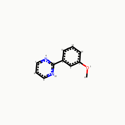 COc1[c]c(-c2ncccn2)ccc1